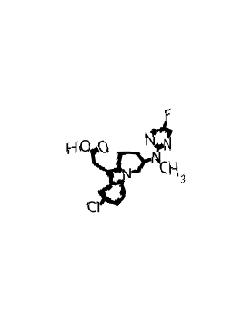 CN(c1ncc(F)cn1)C1CCc2c(CC(=O)O)c3cc(Cl)ccc3n2C1